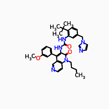 CCCCn1c(=O)c(NC(=O)Nc2cc(Cn3ccnc3)ccc2C(C)(C)C)c(-c2cccc(OC)c2)c2cnccc21